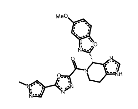 COc1ccc2oc([C@@H]3c4nc[nH]c4CCN3C(=O)c3nnc(-c4cnn(C)c4)o3)nc2c1